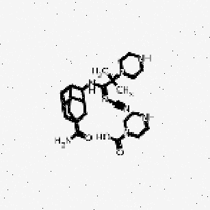 CC(C)(C(=NC#N)NC1C2CC3CC1CC(C(N)=O)(C3)C2)N1CCNCC1.O=C(O)N1CCNCC1